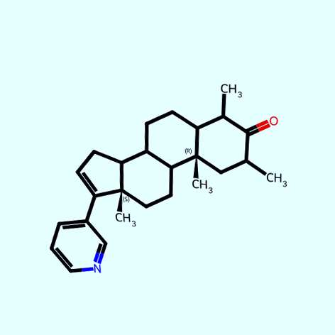 CC1C[C@@]2(C)C(CCC3C2CC[C@]2(C)C(c4cccnc4)=CCC32)C(C)C1=O